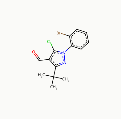 CC(C)(C)c1nn(-c2ccccc2Br)c(Cl)c1C=O